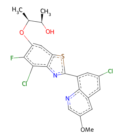 COc1cnc2c(-c3nc4c(Cl)c(F)c(O[C@@H](C)[C@@H](C)O)cc4s3)cc(Cl)cc2c1